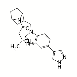 CC(C)CC(=O)N1C2CCC1C(Cn1cnc3cc(-c4cn[nH]c4)ccc31)C2